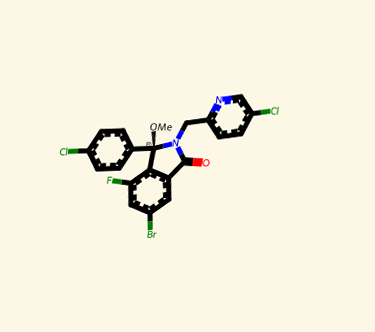 CO[C@]1(c2ccc(Cl)cc2)c2c(F)cc(Br)cc2C(=O)N1Cc1ccc(Cl)cn1